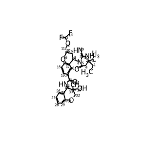 CC[C@]1(C)CC(=O)N([C@@H]2C[C@@H](COC(F)F)Oc3ccc(C(=O)N[C@@H]4c5ccccc5OC[C@@]4(C)O)cc32)C(=N)N1